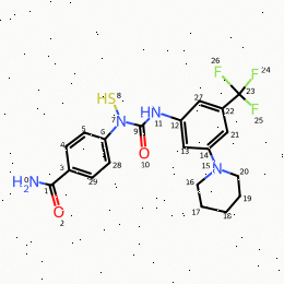 NC(=O)c1ccc(N(S)C(=O)Nc2cc(N3CCCCC3)cc(C(F)(F)F)c2)cc1